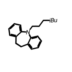 CCC(C)CCCN1c2ccccc2CCc2ccccc21